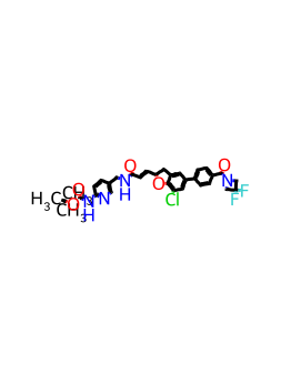 CC(C)(C)OC(=O)Nc1ccc(CNC(=O)/C=C/C2Cc3cc(-c4ccc(C(=O)N5CC(F)(F)C5)cc4)cc(Cl)c3O2)cn1